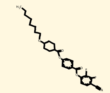 CCCCCCCCOC1CCC(C(=O)Oc2ccc(C(=O)Oc3ccc(C#N)c(F)c3F)cc2)CC1